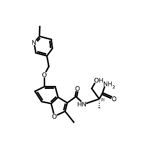 Cc1ccc(COc2ccc3oc(C)c(C(=O)N[C@@](C)(CO)C(N)=O)c3c2)cn1